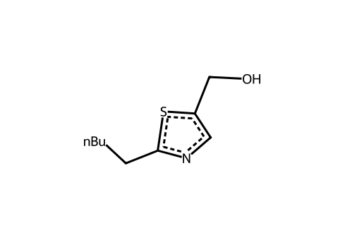 CCCCCc1ncc(CO)s1